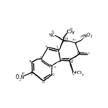 C=C1C([N+](=O)[O-])=C2C(=Cc3cc([N+](=O)[O-])ccc32)C(C#N)(C#N)C1[N+](=O)[O-]